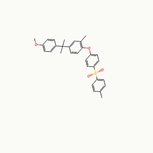 COc1ccc(C(C)(C)c2ccc(Oc3ccc(S(=O)(=O)c4ccc(C)cc4)cc3)c(C)c2)cc1